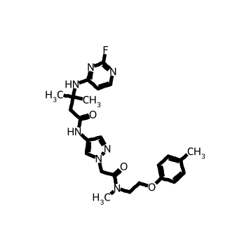 Cc1ccc(OCCN(C)C(=O)Cn2cc(NC(=O)CC(C)(C)Nc3ccnc(F)n3)cn2)cc1